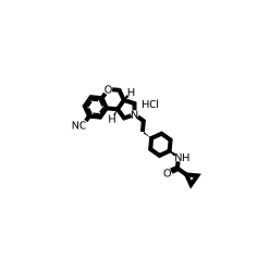 Cl.N#Cc1ccc2c(c1)[C@@H]1CN(CC[C@H]3CC[C@H](NC(=O)C4CC4)CC3)C[C@H]1CO2